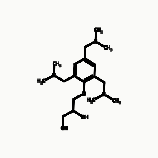 CN(C)Cc1cc(CN(C)C)c(OCC(O)CO)c(CN(C)C)c1